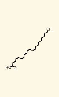 CCCCCCCCC\C=C/C=C\C=C\C=C/C=C\C=C\C(=O)O